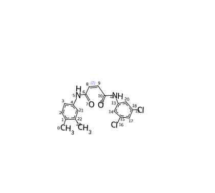 Cc1ccc(NC(=O)/C=C\C(=O)Nc2cc(Cl)cc(Cl)c2)cc1C